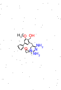 COc1ccccc1-c1cc(Cc2cnc(N)nc2N)c(CO)c(OC)c1